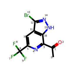 CC(=O)c1nc(C(F)(F)F)cc2c(Br)n[nH]c12